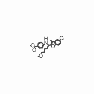 COCCCCC(Nc1ccc(C(=O)OC)cc1)c1oc2ccc(OC)cc2c1C